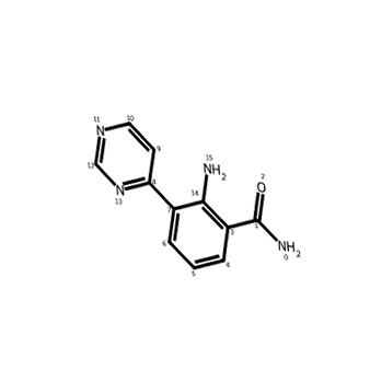 NC(=O)c1cccc(-c2ccncn2)c1N